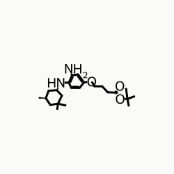 C[C@H]1C[C@@H](Nc2ccc(OCCCC(=O)OC(C)(C)C)cc2N)CC(C)(C)C1